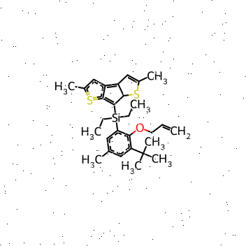 C=CCOc1c(C(C)(C)C)cc(C)cc1[Si](CC)(CC)C1=c2sc(C)cc2=C2C=C(C)SC21